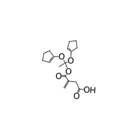 C=C(CC(=O)O)C(=O)OC(C)(OC1=CCCC1)OC1=CCCC1